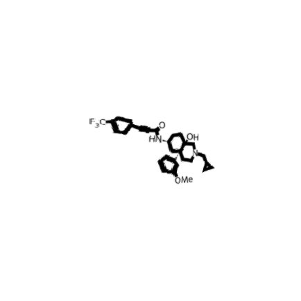 COc1cccc([C@@]23CCN(CC4CC4)C[C@@]2(O)CC[C@@H](NC(=O)C#Cc2ccc(C(F)(F)F)cc2)C3)c1